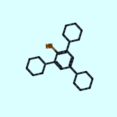 Sc1c(C2CCCCC2)cc(C2CCCCC2)cc1C1CCCCC1